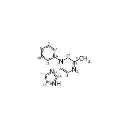 CC1=NC=CN(c2ccccc2)C1.c1c[nH]cn1